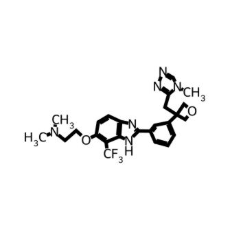 CN(C)CCOc1ccc2nc(-c3cccc(C4(Cc5nncn5C)COC4)c3)[nH]c2c1C(F)(F)F